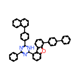 c1ccc(C2=NC(c3cccc4oc5c(-c6ccc(-c7ccccc7)cc6)cccc5c34)NC(c3ccc(-c4cccc5ccccc45)cc3)=N2)cc1